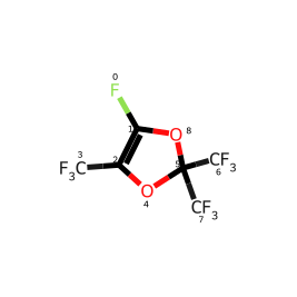 FC1=C(C(F)(F)F)OC(C(F)(F)F)(C(F)(F)F)O1